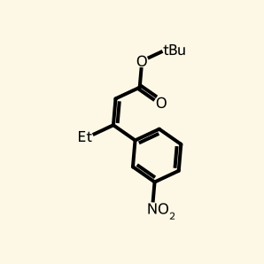 CC/C(=C/C(=O)OC(C)(C)C)c1cccc([N+](=O)[O-])c1